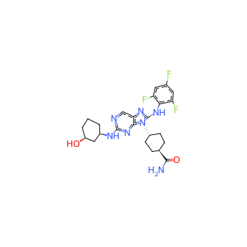 NC(=O)[C@H]1CC[C@H](n2c(Nc3c(F)cc(F)cc3F)nc3cnc(N[C@@H]4CCC[C@H](O)C4)nc32)CC1